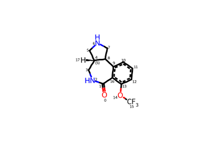 O=C1NC[C@@H]2CNCC2c2cccc(OC(F)(F)F)c21